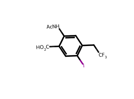 CC(=O)Nc1cc(CC(F)(F)F)c(I)cc1C(=O)O